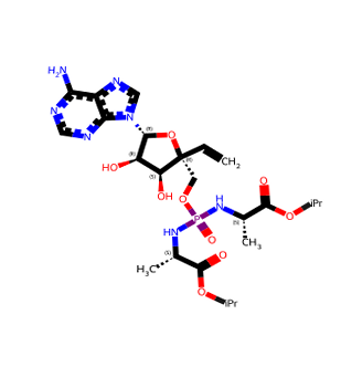 C=C[C@]1(COP(=O)(N[C@@H](C)C(=O)OC(C)C)N[C@@H](C)C(=O)OC(C)C)O[C@@H](n2cnc3c(N)ncnc32)[C@H](O)[C@@H]1O